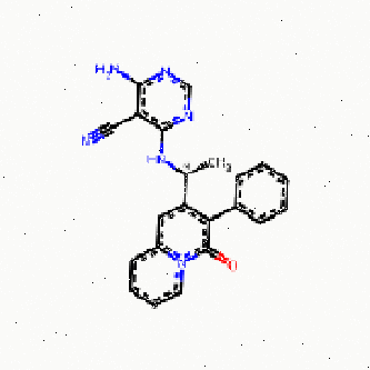 C[C@H](Nc1ncnc(N)c1C#N)c1cc2ccccn2c(=O)c1-c1ccccc1